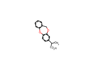 CC(C(=O)O)c1ccc2c(c1)OCc1ccccc1O2